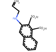 C=CCNc1cc2ccccc2c(S(=O)(=O)O)c1S(=O)(=O)O